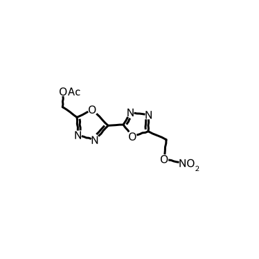 CC(=O)OCc1nnc(-c2nnc(CO[N+](=O)[O-])o2)o1